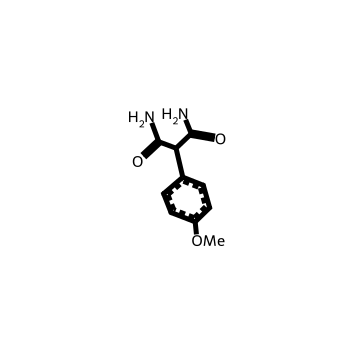 COc1ccc(C(C(N)=O)C(N)=O)cc1